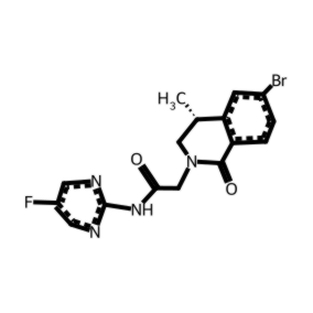 C[C@H]1CN(CC(=O)Nc2ncc(F)cn2)C(=O)c2ccc(Br)cc21